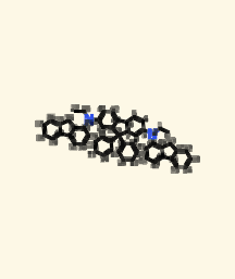 CCN(c1ccc2c(c1)C(c1ccccc1)(c1ccccc1)c1cc(N(CC)c3cccc4c3Cc3ccccc3-4)ccc1-2)c1cccc2c1Cc1ccccc1-2